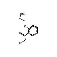 COCCOc1ccccc1C(=O)CBr